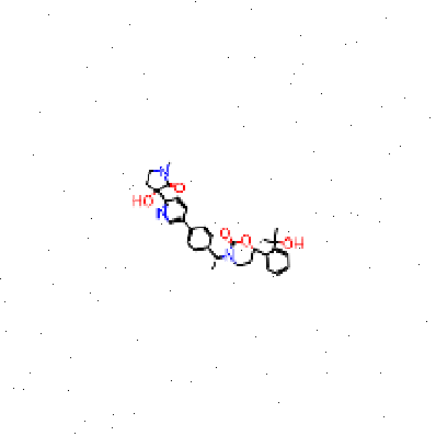 C[C@@H](c1ccc(-c2ccc(C3(O)CCN(C)C3=O)nc2)cc1)N1CC[C@](CC(C)(C)O)(c2ccccc2)OC1=O